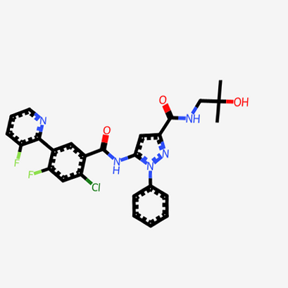 CC(C)(O)CNC(=O)c1cc(NC(=O)c2cc(-c3ncccc3F)c(F)cc2Cl)n(-c2ccccc2)n1